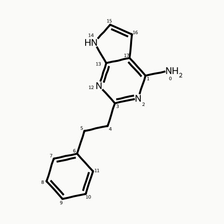 Nc1nc(CCc2ccccc2)nc2[nH]ccc12